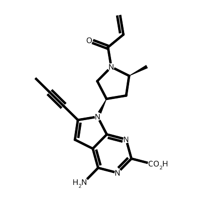 C=CC(=O)N1C[C@H](n2c(C#CC)cc3c(N)nc(C(=O)O)nc32)C[C@@H]1C